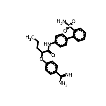 CCCC(Oc1ccc(C(=N)N)cc1)C(=O)Nc1ccc(-c2ccccc2S(N)(=O)=O)cc1